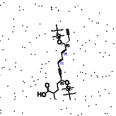 C#CC[C@H](/C=C/C=C/C#C[C@H](CCC(C)C(=O)O)O[Si](C)(C)C(C)(C)C)O[Si](C)(C)C(C)(C)C